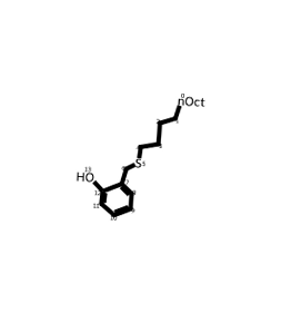 CCCCCCCCCCCCSCc1ccccc1O